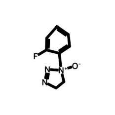 [O-][N+]1(c2ccccc2F)CCN=N1